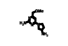 COCc1cc(N2CCC(N)C2)nc(N)n1